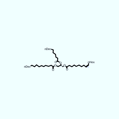 CCCCCC/C=C\CCCCCCCC(=O)OC[C@H](COC(=O)CCCCCCCCCCCCCCCCCCC)OC(=O)CCCCCCCCCCCCCCC